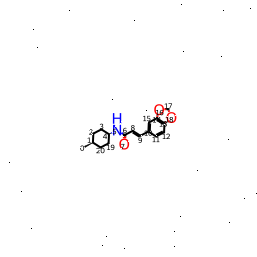 C[C@H]1CC[C@H](NC(=O)C=Cc2ccc3c(c2)OCO3)CC1